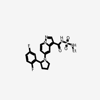 CCNS(=O)(=O)NC(=O)c1cnn2ccc(N3CCCC3c3cc(F)ccc3F)cc12